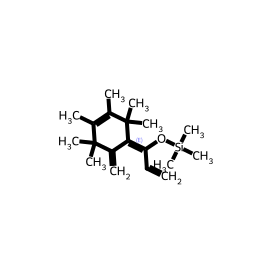 C=C/C(O[Si](C)(C)C)=C1\C(=C)C(C)(C)C(C)=C(C)C1(C)C